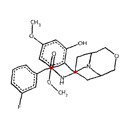 COc1cc(O)c(CN2C3COCC2CC(NC(=O)c2cccc(F)c2)C3)c(OC)c1